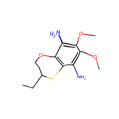 CCC1COc2c(N)c(OC)c(OC)c(N)c2S1